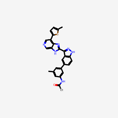 CCC(=O)Nc1cc(C)cc(-c2ccc3[nH]nc(-c4nc5c(-c6ccc(C)s6)cncc5[nH]4)c3c2)c1